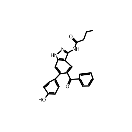 CCCC(=O)Nc1n[nH]c2cc(-c3ccc(O)cc3)c(C(=O)c3ccccc3)cc12